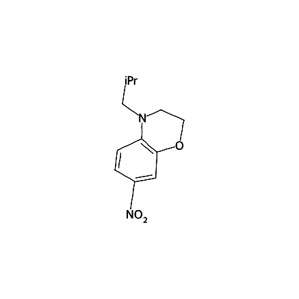 CC(C)CN1CCOc2cc([N+](=O)[O-])ccc21